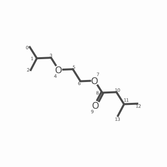 CC(C)COCCOC(=O)CC(C)C